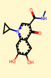 CNC(=O)c1cn(C2CC2)c2cc(O)c(O)cc2c1=O